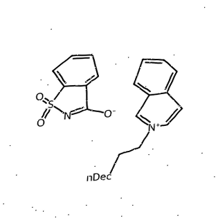 CCCCCCCCCCCC[n+]1ccc2ccccc2c1.O=S1(=O)N=C([O-])c2ccccc21